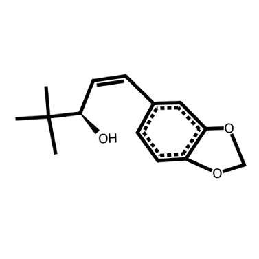 CC(C)(C)[C@H](O)/C=C\c1ccc2c(c1)OCO2